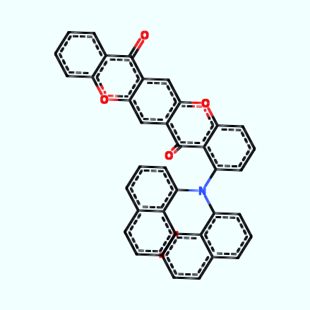 O=c1c2ccccc2oc2cc3c(=O)c4c(N(c5cccc6ccccc56)c5cccc6ccccc56)cccc4oc3cc12